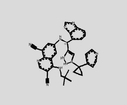 CC(C)(C)CNc1c(C#N)cnc2c(C#N)cc(N[C@H](C3=CN(C4(c5ccncc5)CC4)NN3)c3cccc4ncsc34)cc12